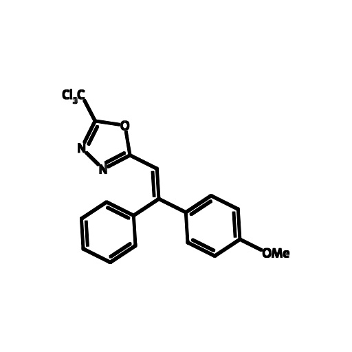 COc1ccc(C(=Cc2nnc(C(Cl)(Cl)Cl)o2)c2ccccc2)cc1